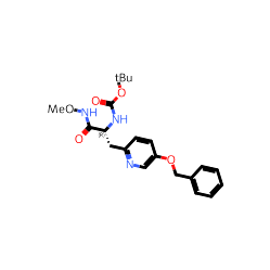 CONC(=O)[C@@H](Cc1ccc(OCc2ccccc2)cn1)NC(=O)OC(C)(C)C